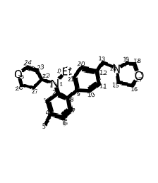 CCN(c1cc(C)ccc1-c1ccc(CN2CCOCC2)cc1)C1CCOCC1